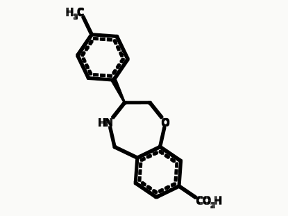 Cc1ccc([C@H]2COc3cc(C(=O)O)ccc3CN2)cc1